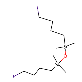 C[Si](C)(CCCCI)O[Si](C)(C)CCCCI